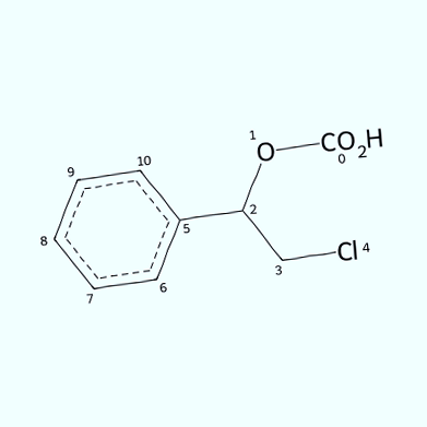 O=C(O)OC(CCl)c1ccccc1